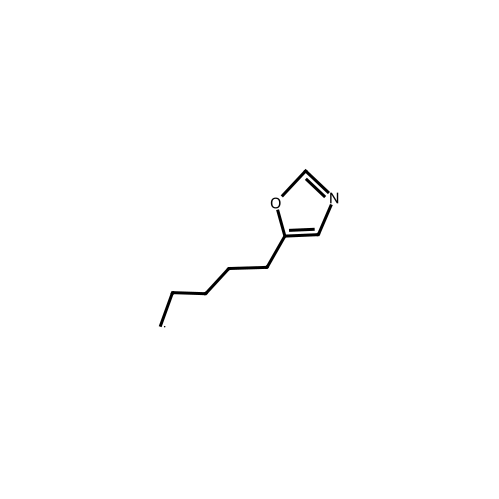 [CH2]CCCCc1cnco1